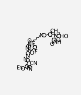 CCOc1cc(-c2ccc(N3CCC(CN4CCN(C(=O)CCCCCCN5CCC(c6ccc(CN(C=O)C7CCC(=O)NC7=O)c(C)c6)CC5)CC4)(NC(=O)c4cc(F)ccc4F)CC3)nc2)c2c(C#N)cnn2c1